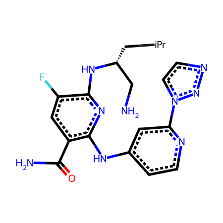 CC(C)C[C@H](CN)Nc1nc(Nc2ccnc(-n3ccnn3)c2)c(C(N)=O)cc1F